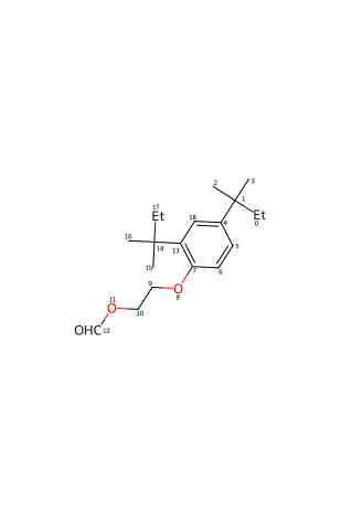 CCC(C)(C)c1ccc(OCCOC=O)c(C(C)(C)CC)c1